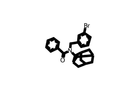 O=C(c1ccccc1)N(Cc1cccc(Br)c1)C1C2CC3CC(C2)CC1C3